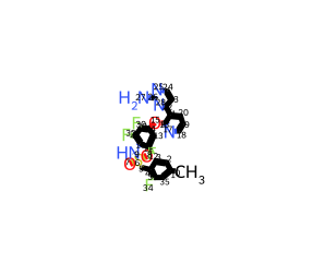 Cc1ccc(CS(=O)(=O)Nc2c(F)cc(Oc3ncccc3-c3ccnc(N)n3)c(F)c2F)c(F)c1